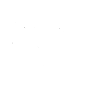 Cc1ccc(S(=O)(=O)n2cc(-c3cn(CCCC(=O)O)nc3C(F)(F)F)c3cc(-c4c(CN(C(=O)OC(C)(C)C)C(C)C)nn(C)c4C)cnc32)cc1